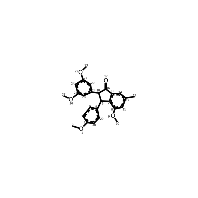 COc1ccc(C2c3c(OC)cc(C)cc3C(=O)C2c2cc(OC)cc(OC)c2)cc1